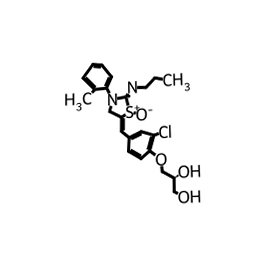 CCC/N=C1/N(c2ccccc2C)C/C(=C/c2ccc(OC[C@H](O)CO)c(Cl)c2)[S+]1[O-]